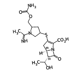 CC(=N)N1CC(SC2=C(C(=O)O)N3C(=O)[C@H](C(C)O)[C@H]3C2)CC1COC(N)=O